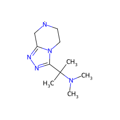 CN(C)C(C)(C)c1nnc2n1CC[N]C2